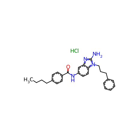 CCCCc1ccc(C(=O)Nc2ccc3c(c2)nc(N)n3CCCc2ccccc2)cc1.Cl